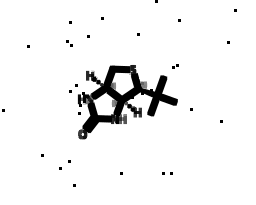 CC(C)(C)[C@@H]1SC[C@@H]2NC(=O)N[C@@H]21